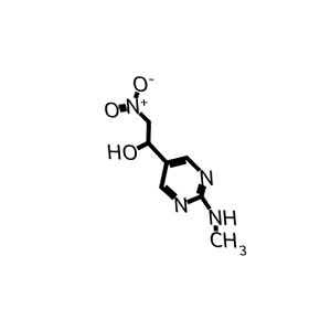 CNc1ncc(C(O)C[N+](=O)[O-])cn1